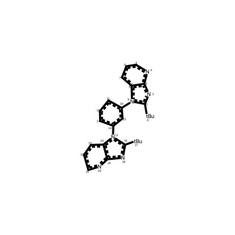 CC(C)(C)c1nc2ncccc2n1-c1cccc(-n2c(C(C)(C)C)nc3ncccc32)c1